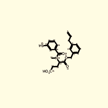 C=CCc1cccc(COC(=O)C(CCC(=O)O)N(C)C(=O)c2cccc(S)c2)c1